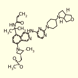 C=CC(=O)NC(C)(C)c1ccc(N2C[C@H](CS(C)(=O)=O)[C@H]2C)c2cnc(Nc3ccnc(N4CCC(N5CC[C@H]6COC[C@H]65)CC4)n3)cc12